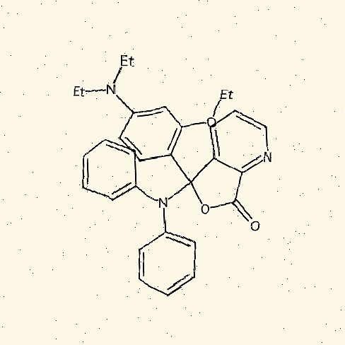 CCOc1cc(N(CC)CC)ccc1C1(N(c2ccccc2)c2ccccc2)OC(=O)c2ncccc21